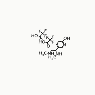 CNCC(NC)c1ccc(O)nc1.O=C(O)C(F)(F)F.O=C(O)C(F)(F)F